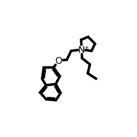 CCCC[N+]1(CCOc2ccc3ccccc3c2)CCCC1